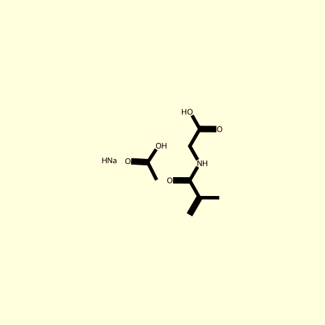 C=C(C)C(=O)NCC(=O)O.CC(=O)O.[NaH]